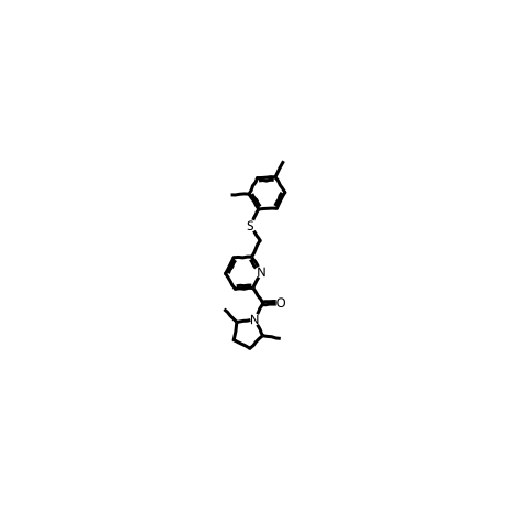 Cc1ccc(SCc2cccc(C(=O)N3C(C)CCC3C)n2)c(C)c1